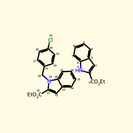 CCOC(=O)c1cc2ccccc2[nH]1.CCOC(=O)c1cc2ccccc2n1Cc1ccc(Cl)cc1